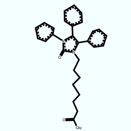 O=C(O)CCCCCCCn1c(-c2ccccc2)c(-c2ccccc2)n(-c2ccccc2)c1=O